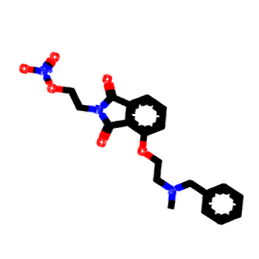 CN(CCOc1cccc2c1C(=O)N(CCO[N+](=O)[O-])C2=O)Cc1ccccc1